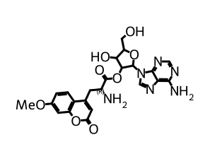 COc1ccc2c(C[C@@H](N)C(=O)OC3C(O)C(CO)OC3n3cnc4c(N)ncnc43)cc(=O)oc2c1